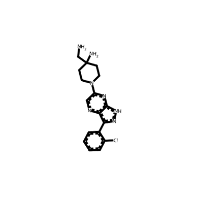 NCC1(N)CCN(c2cnc3c(-c4ccccc4Cl)n[nH]c3n2)CC1